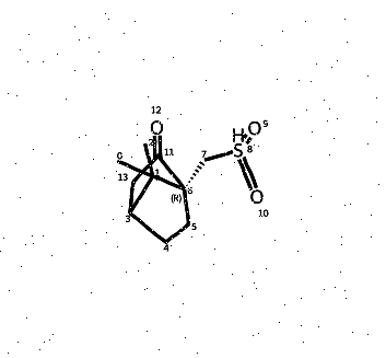 CC1(C)C2CC[C@]1(C[SH](=O)=O)C(=O)C2